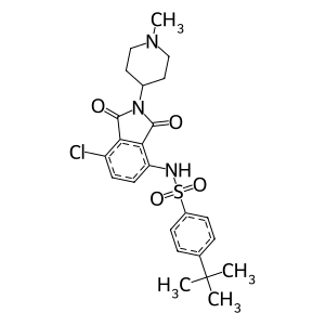 CN1CCC(N2C(=O)c3c(Cl)ccc(NS(=O)(=O)c4ccc(C(C)(C)C)cc4)c3C2=O)CC1